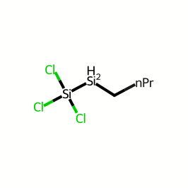 [CH2]CCC[SiH2][Si](Cl)(Cl)Cl